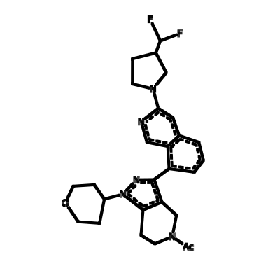 CC(=O)N1CCc2c(c(-c3cccc4cc(N5CCC(C(F)F)C5)ncc34)nn2C2CCOCC2)C1